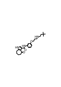 CC(C)(C)CCNCCCOc1cccc(NC(=O)c2c[nH]c3c2C(=O)CCCC3)c1